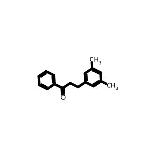 Cc1cc(C)cc(CCC(=O)c2ccccc2)c1